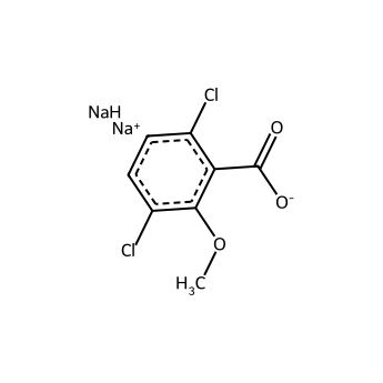 COc1c(Cl)ccc(Cl)c1C(=O)[O-].[Na+].[NaH]